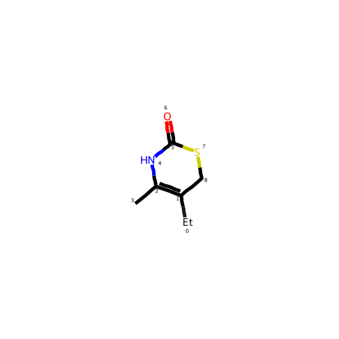 CCC1=C(C)NC(=O)SC1